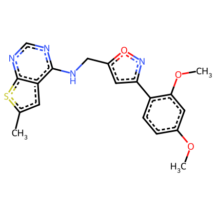 COc1ccc(-c2cc(CNc3ncnc4sc(C)cc34)on2)c(OC)c1